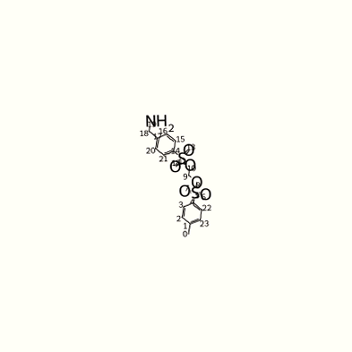 Cc1ccc(S(=O)(=O)OCOS(=O)(=O)c2ccc(CN)cc2)cc1